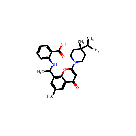 Cc1cc(C(C)Nc2ccccc2C(=O)O)c2oc(N3CCC(C)(C(C)C)CC3)cc(=O)c2c1